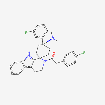 CN(C)[C@]1(c2cccc(F)c2)CC[C@@]2(CC1)c1[nH]c3ccccc3c1CCN2C(=O)Cc1ccc(F)cc1